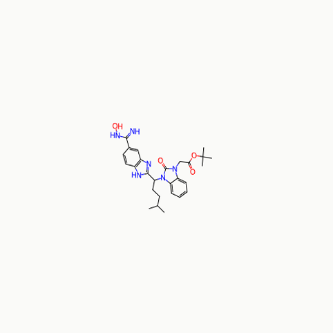 CC(C)CCC(c1nc2cc(C(=N)NO)ccc2[nH]1)n1c(=O)n(CC(=O)OC(C)(C)C)c2ccccc21